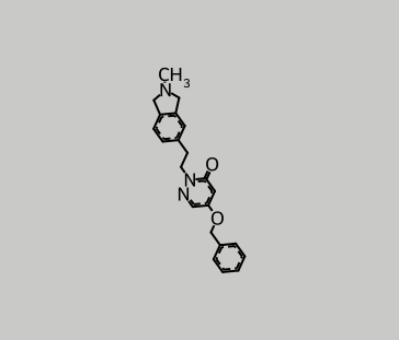 CN1Cc2ccc(CCn3ncc(OCc4ccccc4)cc3=O)cc2C1